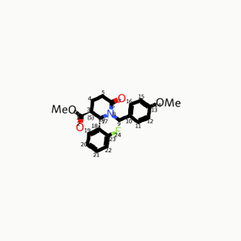 COC(=O)[C@H]1CCC(=O)N(Cc2ccc(OC)cc2)[C@@H]1c1ccccc1F